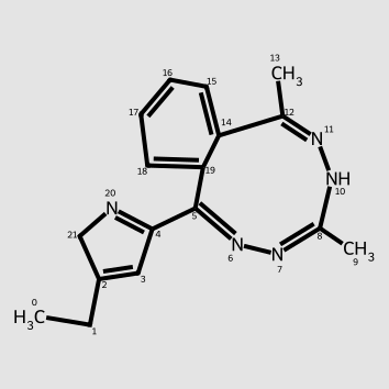 CCC1=CC(c2nnc(C)[nH]nc(C)c3ccccc23)=NC1